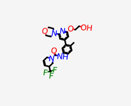 Cc1ccc(NC(=O)N2CC=CC(C(F)(F)F)C2)cc1-c1cc(OCCO)nc(N2CCOCC2)c1